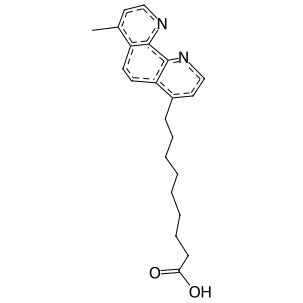 Cc1ccnc2c1ccc1c(CCCCCCCCC(=O)O)ccnc12